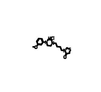 COc1cccc(N2CCN(CCCCN3CSCC3=O)CC2)c1.Cl